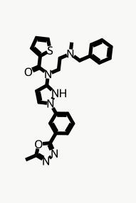 Cc1nnc(-c2cccc(N3C=CC(N(CCN(C)Cc4ccccc4)C(=O)c4cccs4)N3)c2)o1